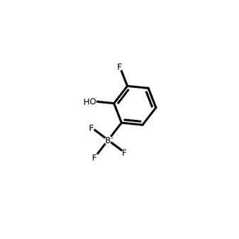 Oc1c(F)cccc1[B-](F)(F)F